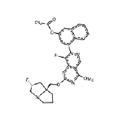 COc1nc(OC[C@@]23CCCN2C[C@H](F)C3)nc2c(F)c(-c3cc(OC(=O)C(C)(C)C)cc4ccccc34)ncc12